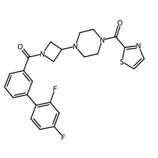 O=C(c1cccc(-c2ccc(F)cc2F)c1)N1CC(N2CCN(C(=O)c3nccs3)CC2)C1